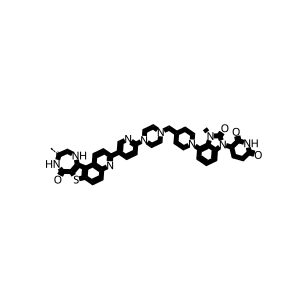 C[C@@H]1CNc2c(sc3ccc4nc(-c5ccc(N6CCN(CC7CCN(c8cccc9c8n(C)c(=O)n9C8CCC(=O)NC8=O)CC7)CC6)nc5)ccc4c23)C(=O)N1